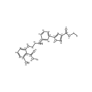 CCOC(=O)c1cc(-c2cccc(NCCOc3cccc(O)c3C(=O)OC)c2)on1